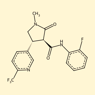 CN1C[C@@H](c2ccc(C(F)(F)F)nc2)[C@H](C(=O)Nc2ccccc2F)C1=O